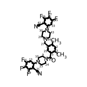 Cc1cc(C)c(C(=O)N2CCN(c3cc(F)c(F)c(F)c3C#N)CC2)cc1CN1CCN(c2cc(F)c(F)c(F)c2C#N)CC1